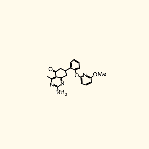 COc1cccc(Oc2ccccc2C2CC(=O)c3c(C)nc(N)nc3C2)n1